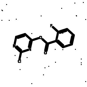 O=C(Oc1ccnc(Cl)n1)c1ccccc1F